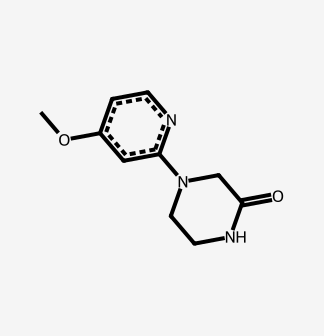 COc1ccnc(N2CCNC(=O)C2)c1